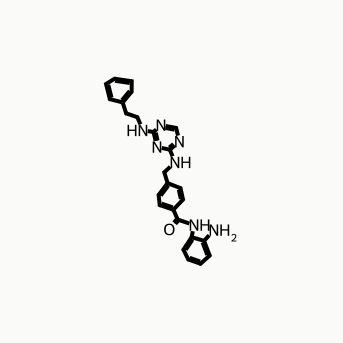 Nc1ccccc1NC(=O)c1ccc(CNc2ncnc(NCCc3ccccc3)n2)cc1